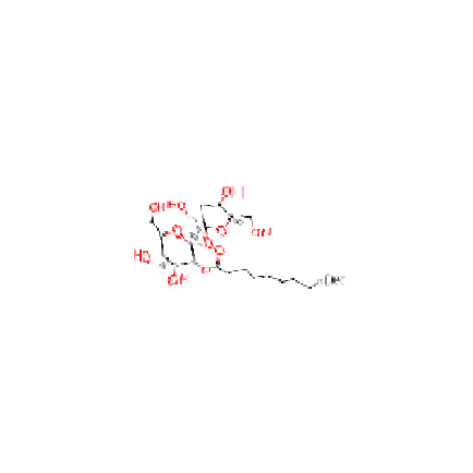 CCCCCCCCCCCCCCCCCC(=O)OC1C(O)[C@H](O)C(CO)O[C@@H]1O[C@@]1(CO)CC(O)[C@@H](CO)O1